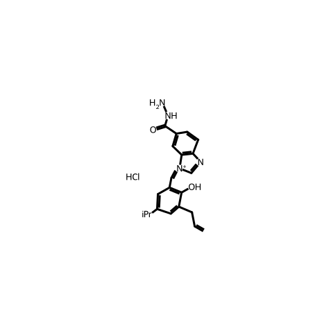 C=CCc1cc(C(C)C)cc(C=[N+]2C=Nc3ccc(C(=O)NN)cc32)c1O.Cl